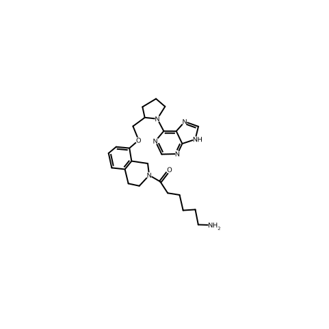 NCCCCCC(=O)N1CCc2cccc(OCC3CCCN3c3ncnc4[nH]cnc34)c2C1